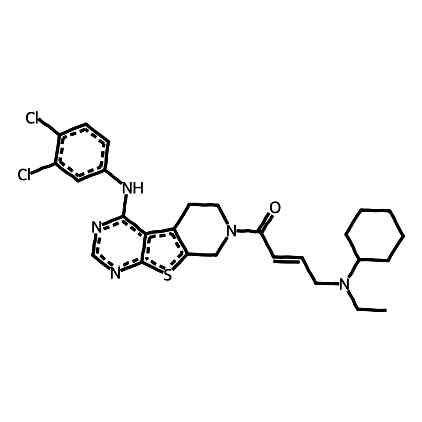 CCN(C/C=C/C(=O)N1CCc2c(sc3ncnc(Nc4ccc(Cl)c(Cl)c4)c23)C1)C1CCCCC1